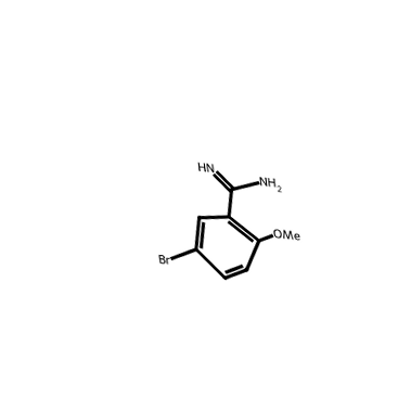 COc1ccc(Br)cc1C(=N)N